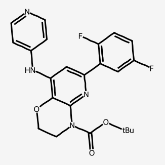 CC(C)(C)OC(=O)N1CCOc2c(Nc3ccncc3)cc(-c3cc(F)ccc3F)nc21